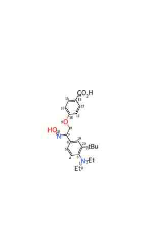 CCN(CC)c1ccc(C(COc2ccc(C(=O)O)cc2)=NO)cc1C(C)(C)C